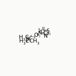 C[Si](C)(C)CCOCn1ccc2scnc21